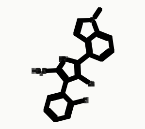 CCc1c(-c2cccc3c2ccn3C)[nH]c(C(=O)O)c1-c1ccccc1Cl